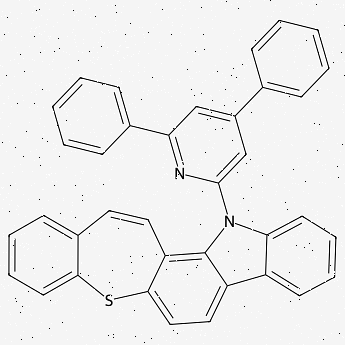 C1=Cc2c(ccc3c4ccccc4n(-c4cc(-c5ccccc5)cc(-c5ccccc5)n4)c23)Sc2ccccc21